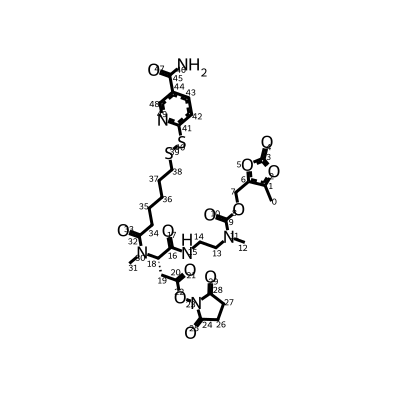 Cc1oc(=O)oc1COC(=O)N(C)CCNC(=O)[C@H](CC(=O)ON1C(=O)CCC1=O)N(C)C(=O)CCCCCSSc1ccc(C(N)=O)cn1